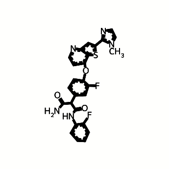 Cn1ccnc1-c1cc2nccc(Oc3ccc(C(C(N)=O)C(=O)Nc4ccccc4F)cc3F)c2s1